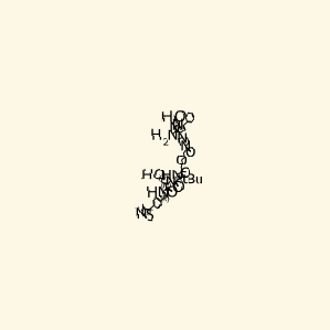 Cc1ncsc1-c1ccc([C@@H](C)NC(=O)[C@H]2C[C@H](O)CN2C(=O)[C@H](NC(=O)CCOCCC(=O)N2CCN(c3cc(-c4ccccc4O)nnc3N)CC2)C(C)(C)C)cc1